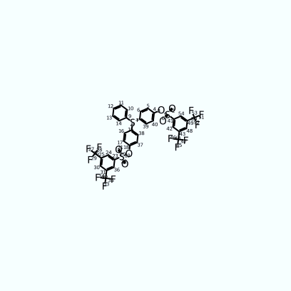 O=S(=O)(Oc1ccc([S+](c2ccccc2)c2ccc(OS(=O)(=O)c3cc(C(F)(F)F)cc(C(F)(F)F)c3)cc2)cc1)c1cc(C(F)(F)F)cc(C(F)(F)F)c1